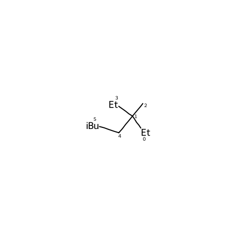 [CH2]CC(C)(CC)CC(C)CC